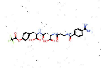 N=C(N)c1ccc(C(=O)NCCC(=O)N[C@@H](CC(=O)N[C@@H](Cc2ccc(OC(=O)C(F)(F)F)cc2)C(=O)O)C(=O)O)cc1